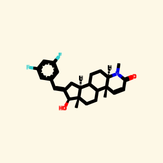 CN1C(=O)C=C[C@]2(C)C3CC[C@]4(C)[C@@H](O)/C(=C/c5cc(F)cc(F)c5)C[C@H]4C3CC[C@@H]12